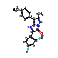 Cc1ccc(-c2c(C)nn3c2N=C(c2ccc(F)cc2F)C3=O)cc1